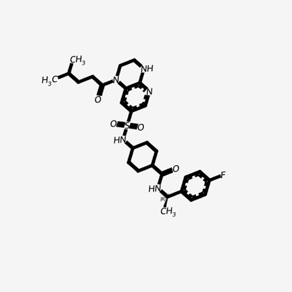 CC(C)CCC(=O)N1CCNc2ncc(S(=O)(=O)NC3CCC(C(=O)N[C@H](C)c4ccc(F)cc4)CC3)cc21